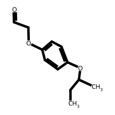 CCC(C)Oc1ccc(OCC=O)cc1